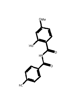 COc1ccc(C(=O)NC(=O)c2ccc(C#N)cc2)c(O)c1